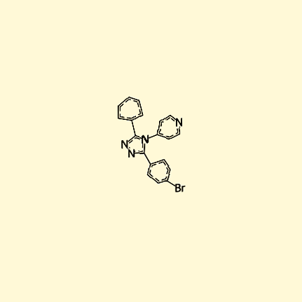 Brc1ccc(-c2nnc(-c3ccccc3)n2-c2ccncc2)cc1